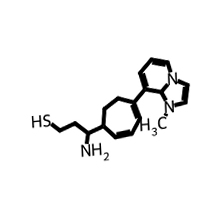 CN1C=CN2C=CC=C(C3=CC=CC(C(N)CCS)CC3)C12